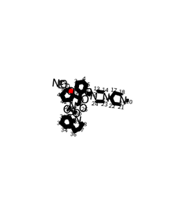 CCOc1ccccc1C1(OC(=O)N2CCN(C3CCN(C)CC3)CC2)C(=O)N(S(=O)(=O)c2cccc3cccnc23)c2ccc(C#N)cc21